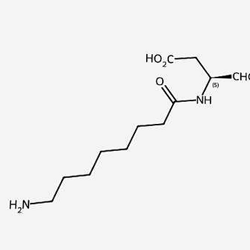 NCCCCCCCC(=O)N[C@H](C=O)CC(=O)O